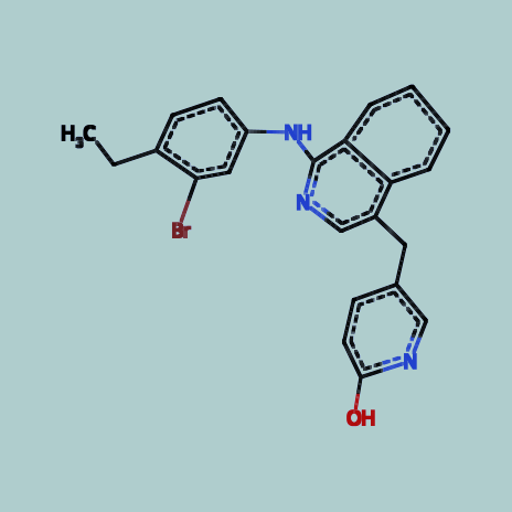 CCc1ccc(Nc2ncc(Cc3ccc(O)nc3)c3ccccc23)cc1Br